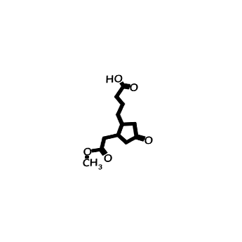 COC(=O)CC1CC(=O)CC1CCCC(=O)O